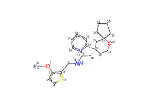 CCOc1ccsc1CNCC[C@@]1(c2ccccn2)CCOC2(CCCC2)C1